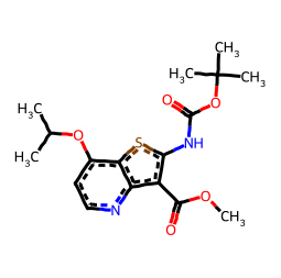 COC(=O)c1c(NC(=O)OC(C)(C)C)sc2c(OC(C)C)ccnc12